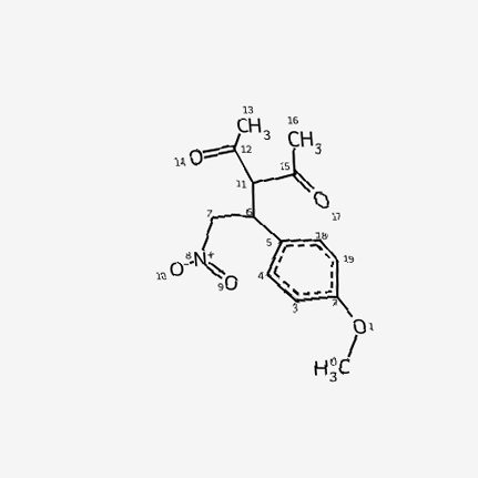 COc1ccc(C(C[N+](=O)[O-])C(C(C)=O)C(C)=O)cc1